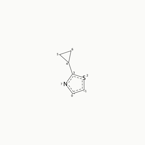 [c]1[c]sc(C2CC2)n1